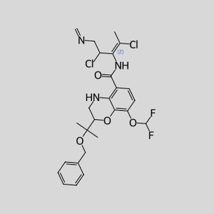 C=NCC(Cl)/C(NC(=O)c1ccc(OC(F)F)c2c1NCC(C(C)(C)OCc1ccccc1)O2)=C(\C)Cl